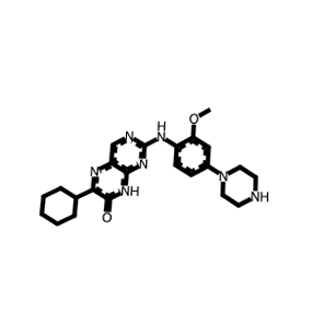 COc1cc(N2CCNCC2)ccc1Nc1ncc2nc(C3CCCCC3)c(=O)[nH]c2n1